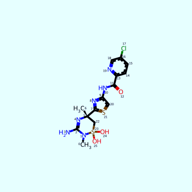 CN1C(N)=N[C@](C)(c2nc(NC(=O)c3ccc(Cl)cn3)cs2)CS1(O)O